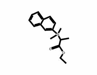 CCOC(=O)C(C)[Si](C)(C)c1ccc2ccccc2c1